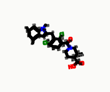 Cc1cc(C)c2cc(Cc3c(Cl)ccc(C(=O)N4CC[C@H](C(=O)O)[C@@H](C)C4)c3Cl)n(C)c2c1